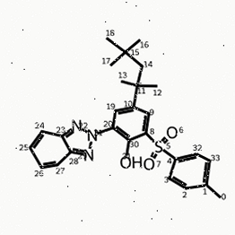 Cc1ccc(S(=O)(=O)c2cc(C(C)(C)CC(C)(C)C)cc(-n3nc4ccccc4n3)c2O)cc1